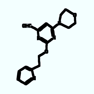 O=Cc1cc(N2CCOCC2)nc(OCCc2ccccn2)n1